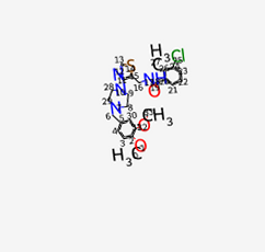 COc1ccc(CN2CCN(c3ncsc3CNC(=O)c3cccc(Cl)c3C)CC2)cc1OC